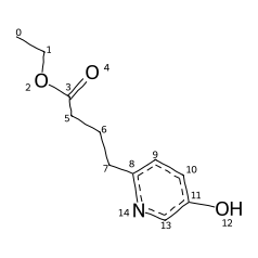 CCOC(=O)CCCc1ccc(O)cn1